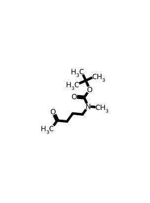 CC(=O)CCCN(C)C(=O)OC(C)(C)C